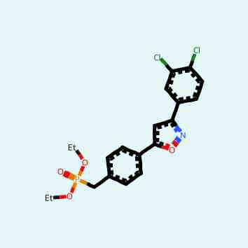 CCOP(=O)(Cc1ccc(-c2cc(-c3ccc(Cl)c(Cl)c3)no2)cc1)OCC